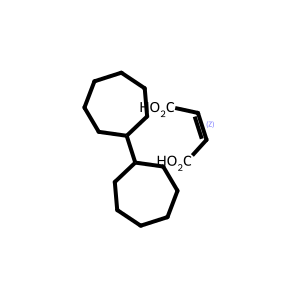 C1CCCC(C2CCCCCC2)CC1.O=C(O)/C=C\C(=O)O